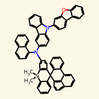 C[Si]1(C)c2ccccc2C2(c3ccccc3-c3cccc4cccc2c34)c2ccc(N(c3ccc4c(c3)c3ccccc3n4-c3ccc4c(c3)oc3ccccc34)c3cccc4ccccc34)cc21